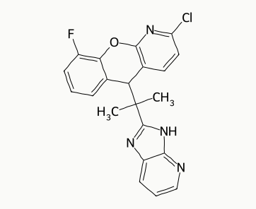 CC(C)(c1nc2cccnc2[nH]1)C1c2ccc(Cl)nc2Oc2c(F)cccc21